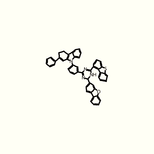 C1=C(c2ccccc2)CCc2c1n(-c1cccc(C3=NC(c4ccc5c(c4)oc4ccccc45)NC(c4cccc5sc6ccccc6c45)=N3)c1)c1ccccc21